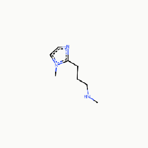 CNCCCc1nccn1C